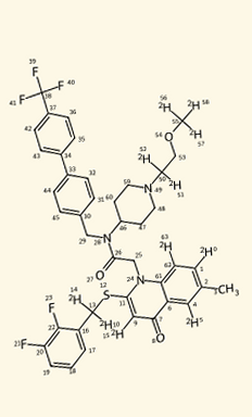 [2H]c1c(C)c([2H])c2c(=O)c([2H])c(SC([2H])([2H])c3cccc(F)c3F)n(CC(=O)N(Cc3ccc(-c4ccc(C(F)(F)F)cc4)cc3)C3CCN(C([2H])([2H])COC([2H])([2H])[2H])CC3)c2c1[2H]